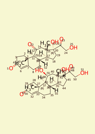 C[C@]12CCC(=O)C=C1CC[C@@H]1[C@@H]2C(=O)C[C@@]2(C)[C@H]1CC[C@]2(O)C(=O)CO.C[C@]12CCC(=O)C=C1CC[C@@H]1[C@@H]2[C@@H](O)C[C@@]2(C)[C@H]1CC[C@]2(O)C(=O)CO